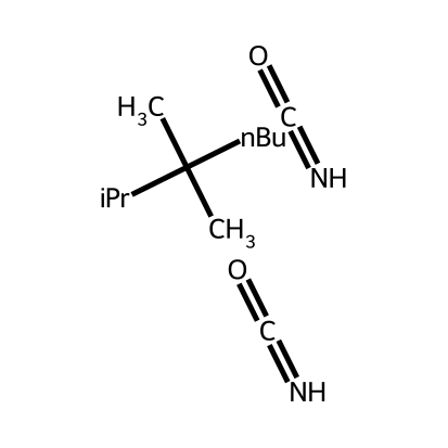 CCCCC(C)(C)C(C)C.N=C=O.N=C=O